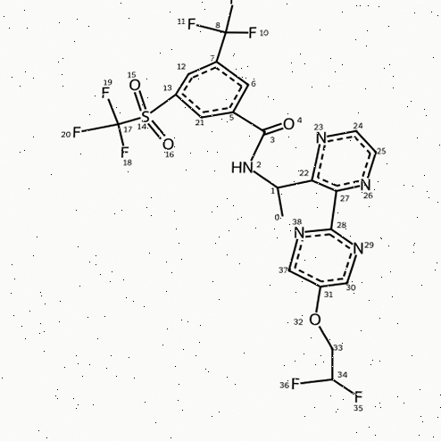 CC(NC(=O)c1cc(C(F)(F)F)cc(S(=O)(=O)C(F)(F)F)c1)c1nccnc1-c1ncc(OCC(F)F)cn1